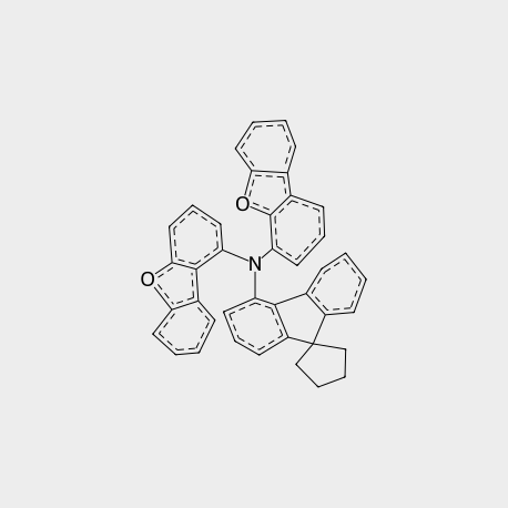 c1ccc2c(c1)-c1c(N(c3cccc4c3oc3ccccc34)c3cccc4oc5ccccc5c34)cccc1C21CCCC1